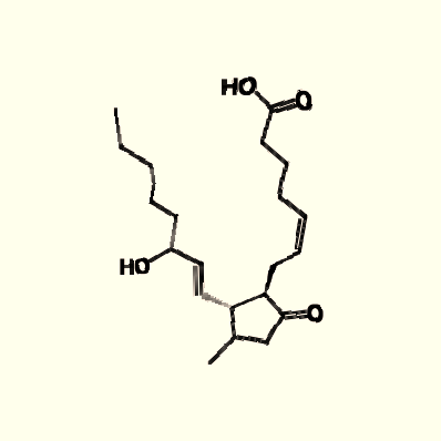 CCCCCC(O)/C=C/[C@H]1C(C)CC(=O)[C@@H]1C/C=C\CCCC(=O)O